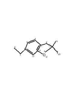 CCc1ccc(CC(C)(C)I)c(Cl)c1